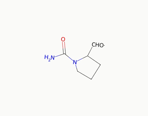 NC(=O)N1CCCC1[C]=O